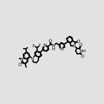 Cc1cc2c(N3CCCc4cc(-c5ccc(C(=O)NCc6cncc(-c7cccc8c7CN(C7CCC(=O)NC7=O)C8=O)c6)nc5)c(C(F)F)cc43)cc(C(C)C)cc2n(C)c1=O